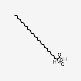 CCCCCCCCCCCCCCCCCCCCCCCCCC1NC(=O)NC1=O